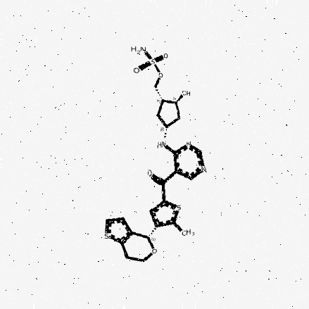 Cc1sc(C(=O)c2cncnc2N[C@@H]2C[C@H](COS(N)(=O)=O)[C@@H](O)C2)cc1[C@@H]1OCCc2sccc21